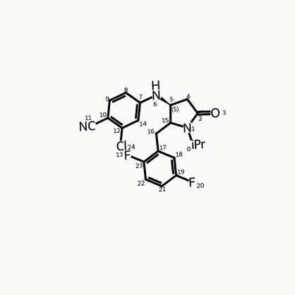 CC(C)N1C(=O)C[C@H](Nc2ccc(C#N)c(Cl)c2)C1Cc1cc(F)ccc1F